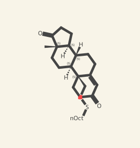 CCCCCCCCSSC[C@]12CCC(=O)C=C1CC[C@@H]1[C@@H]2CC[C@]2(C)C(=O)CC[C@@H]12